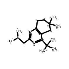 CN(C)Cc1nc2c(c(C(C)(C)C)n1)CC(C)(C)CC2